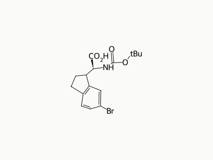 CC(C)(C)OC(=O)N[C@H](C(=O)O)C1CCc2ccc(Br)cc21